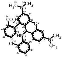 CN(C)c1ccc2c(c1)Oc1cc(N(C)C)cc(-c3ccccc3C(=O)O)c1C2Nc1ccccc1Cl